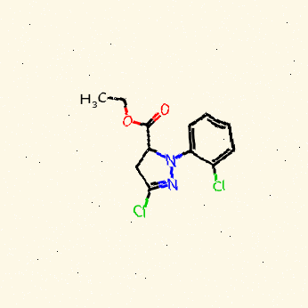 CCOC(=O)C1CC(Cl)=NN1c1ccccc1Cl